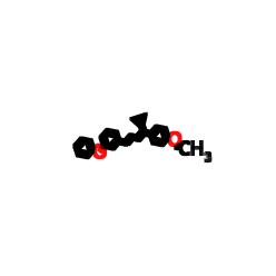 CCOc1ccc(C(=CC=Cc2cccc(Oc3ccccc3)c2)C2CC2)cc1